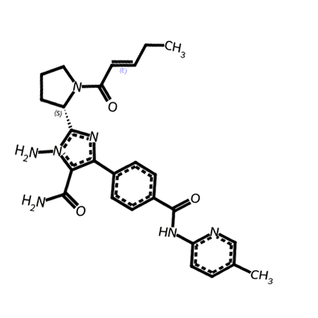 CC/C=C/C(=O)N1CCC[C@H]1c1nc(-c2ccc(C(=O)Nc3ccc(C)cn3)cc2)c(C(N)=O)n1N